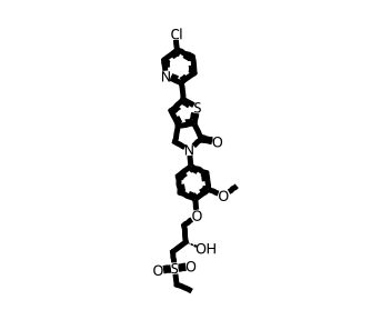 CCS(=O)(=O)C[C@@H](O)COc1ccc(N2Cc3cc(-c4ccc(Cl)cn4)sc3C2=O)cc1OC